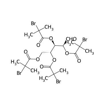 CC(C)(Br)C(=O)OC[C@@H](OC(=O)C(C)(C)Br)[C@@H](OC(=O)C(C)(C)Br)[C@@H](C=O)OC(=O)C(C)(C)Br